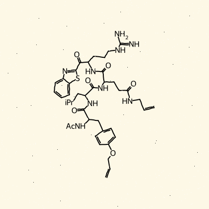 C=CCNC(=O)CCC(NC(=O)C(CC(C)C)NC(=O)C(Cc1ccc(OCC=C)cc1)NC(C)=O)C(=O)NC(CCCNC(=N)N)C(=O)c1nc2ccccc2s1